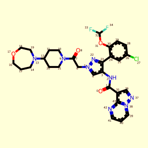 O=C(Nc1cn(CC(=O)N2CCC(N3CCCOCC3)CC2)nc1-c1cc(Cl)ccc1OC(F)F)c1cnn2cccnc12